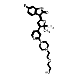 CC1(C)OC(=C2C(=O)Nc3cc(F)ccc32)C=C1c1ccnc(N2CCN(CCOCCO)CC2)c1